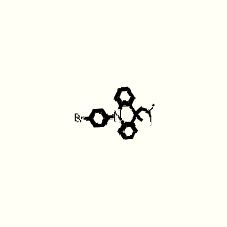 C[C@@H](I)CC1(C)c2ccccc2N(c2ccc(Br)cc2)c2ccccc21